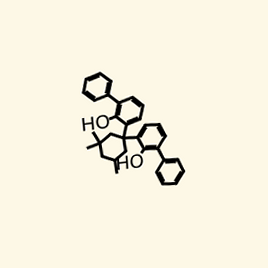 CC1CC(C)(C)CC(c2cccc(-c3ccccc3)c2O)(c2cccc(-c3ccccc3)c2O)C1